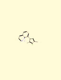 CC1=C(Cl)C(C(C)C)=C(Cl)[C]1c1cccc2cccnc12